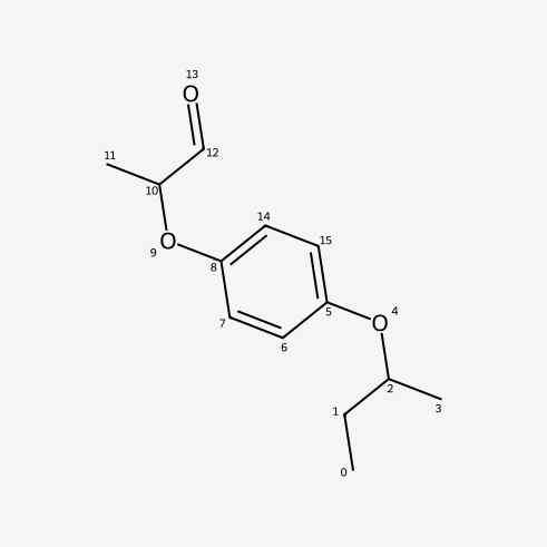 CCC(C)Oc1ccc(OC(C)C=O)cc1